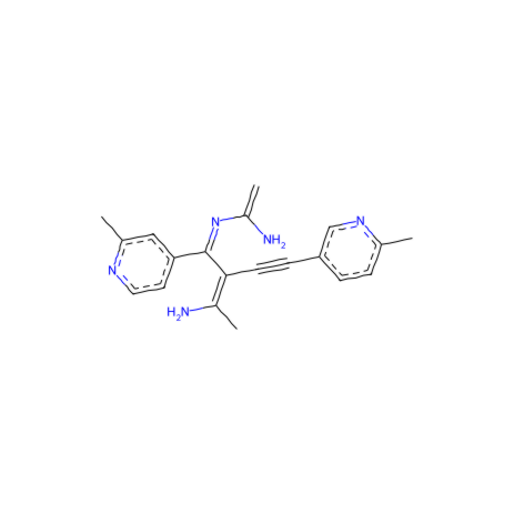 C=C(N)/N=C(\C(C#Cc1ccc(C)nc1)=C(\C)N)c1ccnc(C)c1